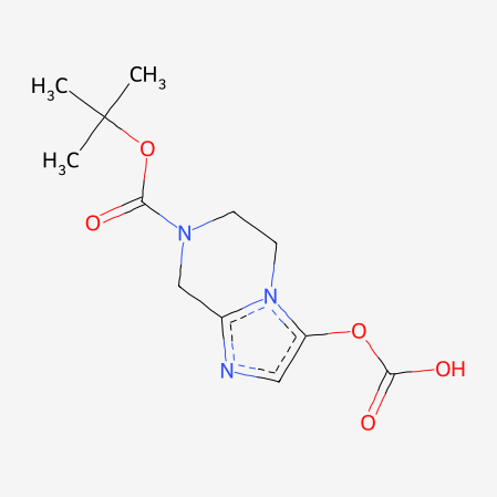 CC(C)(C)OC(=O)N1CCn2c(OC(=O)O)cnc2C1